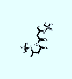 CC(CC(=O)OC(=O)CC(C)O[Si](C)(C)C)O[Si](C)(C)C